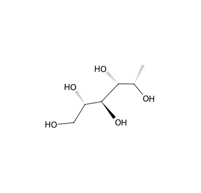 C[C@H](O)[C@@H](O)[C@@H](O)[C@@H](O)CO